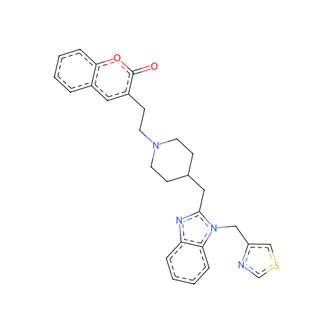 O=c1oc2ccccc2cc1CCN1CCC(Cc2nc3ccccc3n2Cc2cscn2)CC1